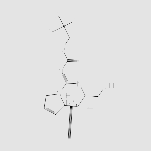 C=C1N[C@H]2[C@H](CO)N/C(=N\C(=O)OCC(Cl)(Cl)Cl)N3[C@@H](C)C=C[C@]23N1